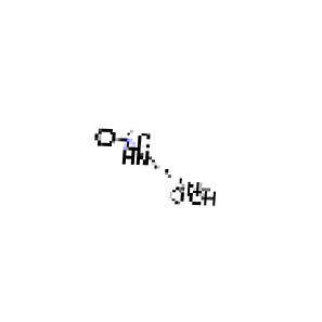 C/C(=C\C(=O)NCCCCCC(=O)NO)c1ccccc1